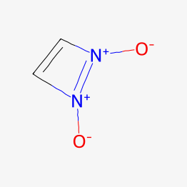 [O-][N+]1=[N+]([O-])C=C1